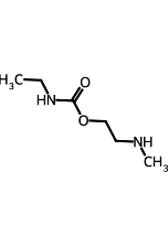 CCNC(=O)OCCNC